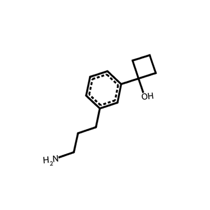 NCCCc1cccc(C2(O)CCC2)c1